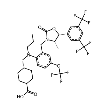 CCCN(C[C@H]1CC[C@H](C(=O)O)CC1)c1ccc(OC(F)(F)F)cc1CN1C(=O)O[C@H](c2cc(C(F)(F)F)cc(C(F)(F)F)c2)[C@@H]1C